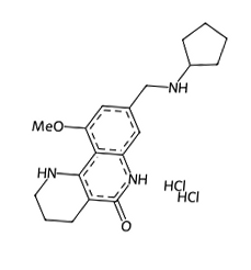 COc1cc(CNC2CCCC2)cc2[nH]c(=O)c3c(c12)NCCC3.Cl.Cl